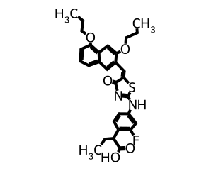 CCCOc1cc2c(OCCC)cccc2cc1C=C1SC(Nc2ccc(C(CC)C(=O)O)c(F)c2)=NC1=O